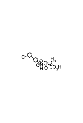 C[C@H](C(=O)O)N1CCC(NS(=O)(=O)c2ccc(-c3cccc(Cl)c3)cc2)C1=O